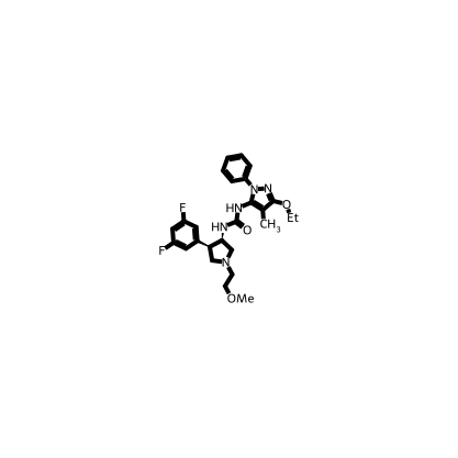 CCOc1nn(-c2ccccc2)c(NC(=O)N[C@@H]2CN(CCOC)C[C@H]2c2cc(F)cc(F)c2)c1C